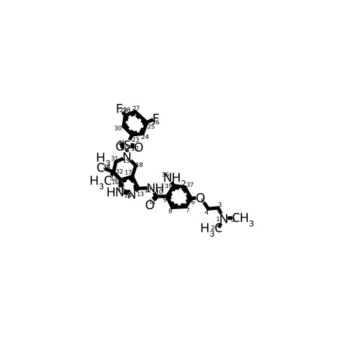 CN(C)CCOc1ccc(C(=O)Nc2n[nH]c3c2CN(S(=O)(=O)c2cc(F)cc(F)c2)CC3(C)C)c(N)c1